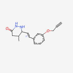 C#CCOc1cccc(/C=C/C2NNC(=O)CC2C)c1